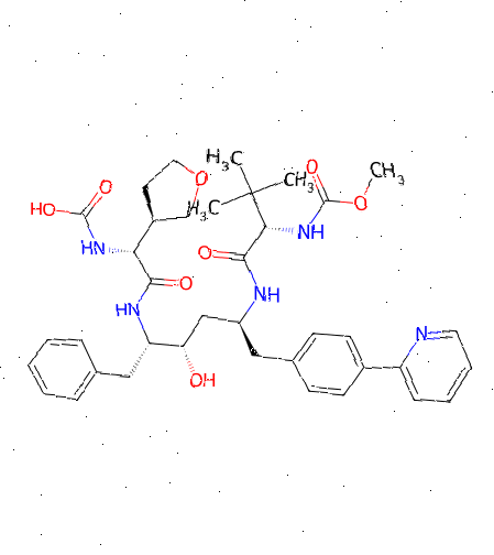 COC(=O)N[C@H](C(=O)N[C@@H](Cc1ccc(-c2ccccn2)cc1)C[C@H](O)[C@H](Cc1ccccc1)NC(=O)[C@H](NC(=O)O)[C@H]1CCOC1)C(C)(C)C